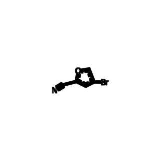 N#Cc1cc(Br)co1